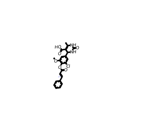 COc1cc(C2NC(=O)NC(C)=C2C(=O)O)cc(Cl)c1OC(=O)/C=C/c1ccccc1